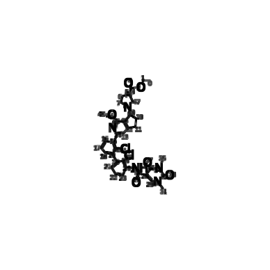 CCOC(=O)[C@@H]1CCN([C@H]2CCc3cc(-c4cccc(-c5cccc(NC(=O)c6cn(C)c(=O)n(C)c6=O)c5Cl)c4Cl)nc(OC)c32)C1